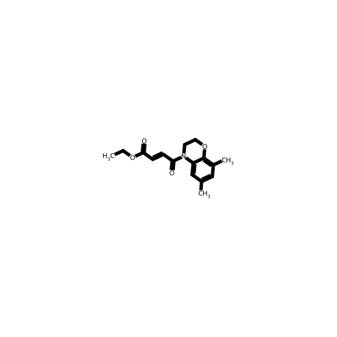 CCOC(=O)/C=C/C(=O)N1CCOc2c(C)cc(C)cc21